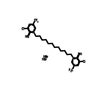 Br.Br.N=c1c(Cl)cc(C(F)(F)F)cn1CCCCCCCCCCCCn1cc(C(F)(F)F)cc(Cl)c1=N